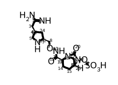 N=C(N)C[C@@H]1CN[C@H](CONC(=O)[C@@H]2CC[C@@H]3CN2C(=O)N3OS(=O)(=O)O)C1